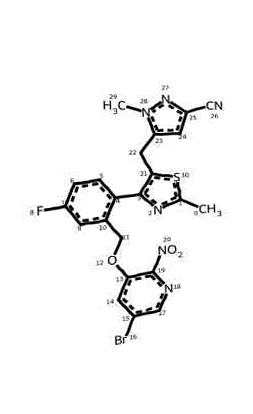 Cc1nc(-c2ccc(F)cc2COc2cc(Br)cnc2[N+](=O)[O-])c(Cc2cc(C#N)nn2C)s1